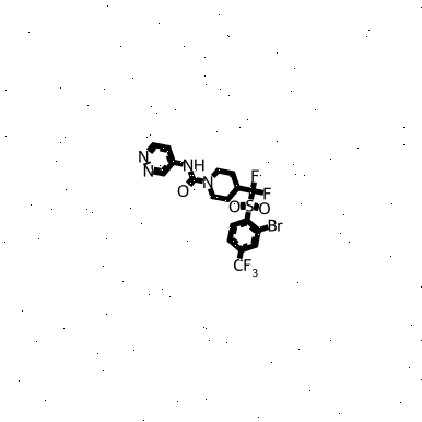 O=C(Nc1ccnnc1)N1CCC(C(F)(F)S(=O)(=O)c2ccc(C(F)(F)F)cc2Br)CC1